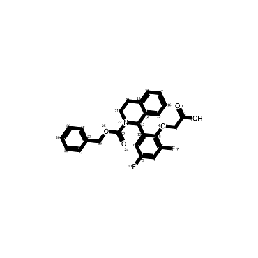 O=C(O)COc1c(F)cc(F)cc1C1c2ccccc2CCN1C(=O)OCc1ccccc1